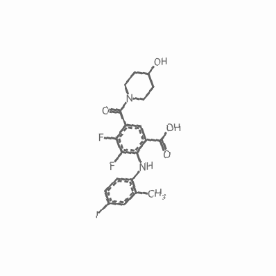 Cc1cc(I)ccc1Nc1c(C(=O)O)cc(C(=O)N2CCC(O)CC2)c(F)c1F